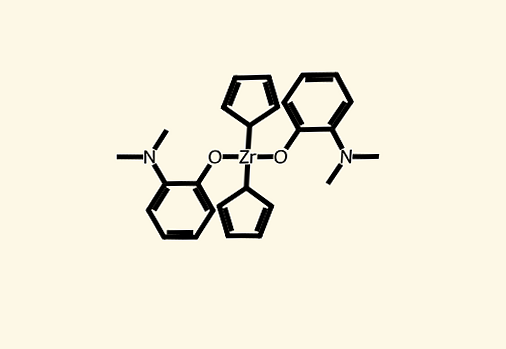 CN(C)c1ccccc1[O][Zr]([O]c1ccccc1N(C)C)([CH]1C=CC=C1)[CH]1C=CC=C1